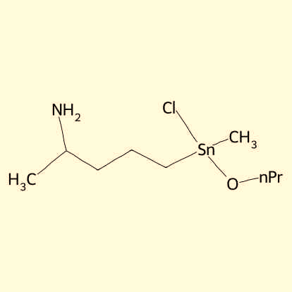 CCC[O][Sn]([CH3])([Cl])[CH2]CCC(C)N